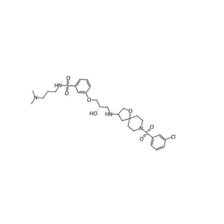 CN(C)CCCNS(=O)(=O)c1cccc(OC[C@@H](O)CNC2COC3(CCN(S(=O)(=O)c4cccc(Cl)c4)CC3)C2)c1